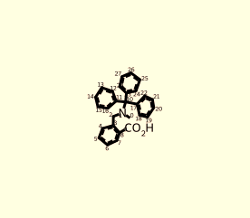 CN(Cc1ccccc1C(=O)O)C(c1ccccc1)(c1ccccc1)c1ccccc1